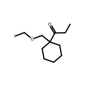 CCC(=O)C1(COCI)CCCCC1